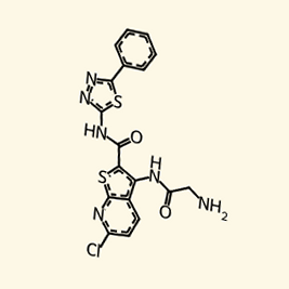 NCC(=O)Nc1c(C(=O)Nc2nnc(-c3ccccc3)s2)sc2nc(Cl)ccc12